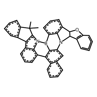 CC1(C)c2ccccc2-c2c1n1c3c(cccc23)-c2c3c(cc4ccccc24)N2c4c(cccc4C4OC5=C(C=C=C=C5)C42)B31